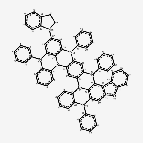 c1ccc(N2c3ccccc3B3c4cc5c(cc4N(c4ccccc4)c4cc(N6CCc7ccccc76)cc2c43)N(c2ccccc2)c2c3c(cc4oc6ccccc6c24)N(c2ccccc2)c2ccccc2B53)cc1